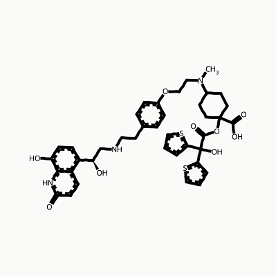 CN(CCOc1ccc(CCNC[C@@H](O)c2ccc(O)c3[nH]c(=O)ccc23)cc1)C1CCC(OC(=O)C(O)(c2cccs2)c2cccs2)(C(=O)O)CC1